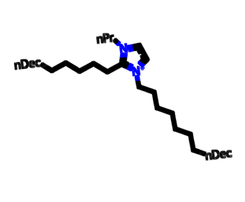 CCCCCCCCCCCCCCCCC[n+]1ccn(CCC)c1CCCCCCCCCCCCCCC